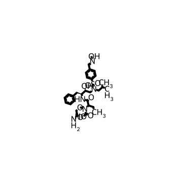 CCC(C(=O)N[C@@H](Cc1ccccc1)[C@H](O)CN(CC(C)C)S(=O)(=O)c1ccc(C=NO)cc1)N(OCC(N)=O)C(=O)O